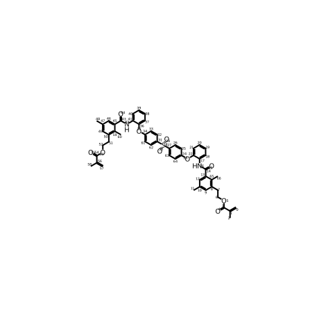 C=C(C)C(=O)OCCc1cc(C)cc(C(=O)Nc2ccccc2Oc2ccc(S(=O)(=O)c3ccc(Oc4ccccc4NC(=O)c4cc(C)cc(CCOC(=O)C(=C)C)c4C)cc3)cc2)c1C